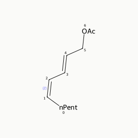 CCCCC/C=C\C=CCOC(C)=O